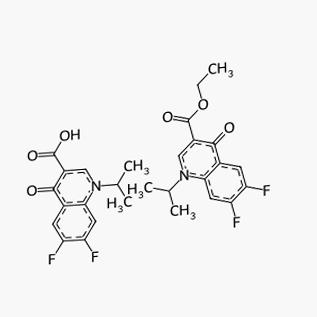 CC(C)n1cc(C(=O)O)c(=O)c2cc(F)c(F)cc21.CCOC(=O)c1cn(C(C)C)c2cc(F)c(F)cc2c1=O